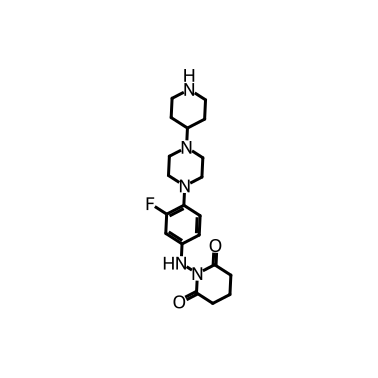 O=C1CCCC(=O)N1Nc1ccc(N2CCN(C3CCNCC3)CC2)c(F)c1